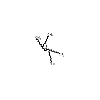 CCCCCCCCCCC(CCCCCCCC)CC1C=CC(CC(CCCCCCCC)CCCCCCCCCC)N1